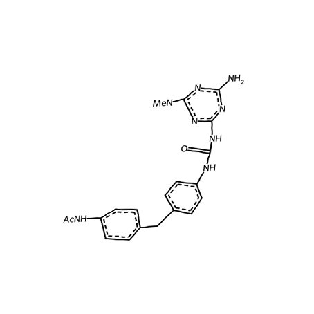 CNc1nc(N)nc(NC(=O)Nc2ccc(Cc3ccc(NC(C)=O)cc3)cc2)n1